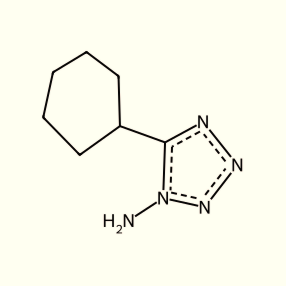 Nn1nnnc1C1CCCCC1